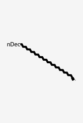 [C]#CCCCCCCCCCCCCCCCCCCCCCCCCCCCCCCCCCC[CH2]